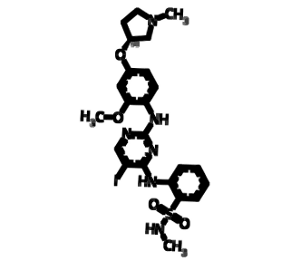 CNS(=O)(=O)c1ccccc1Nc1nc(Nc2ccc(O[C@H]3CCN(C)C3)cc2OC)ncc1I